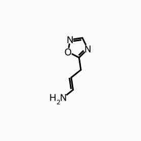 NC=CCc1ncno1